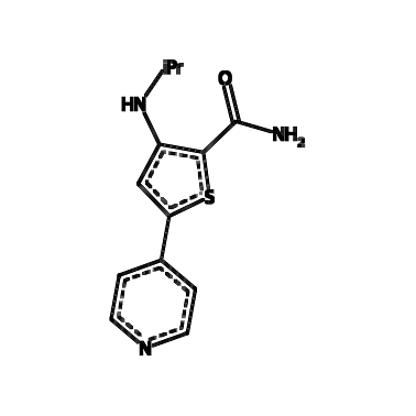 CC(C)Nc1cc(-c2ccncc2)sc1C(N)=O